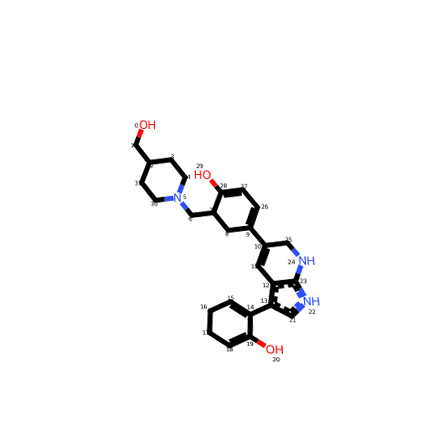 OCC1CCN(CC2CC(C3=Cc4c(C5=CCCC=C5O)c[nH]c4NC3)=CC=C2O)CC1